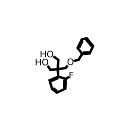 OCC(CO)(COCc1ccccc1)c1ccccc1F